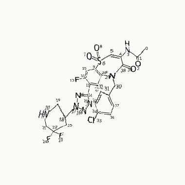 CC(=O)NC1=CS(=O)(=O)c2cc(F)c(-c3nnn(C4CNCC(F)(F)C4)n3)cc2N(Cc2ccc(Cl)cc2)C1=O